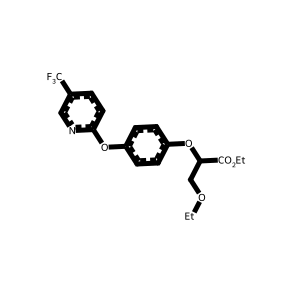 CCOCC(Oc1ccc(Oc2ccc(C(F)(F)F)cn2)cc1)C(=O)OCC